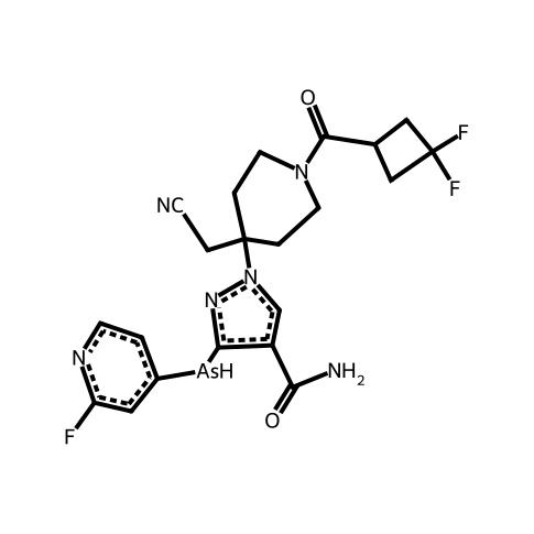 N#CCC1(n2cc(C(N)=O)c([AsH]c3ccnc(F)c3)n2)CCN(C(=O)C2CC(F)(F)C2)CC1